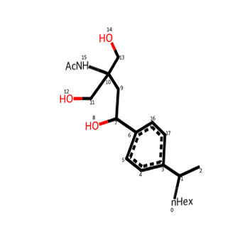 CCCCCCC(C)c1ccc(C(O)CC(CO)(CO)NC(C)=O)cc1